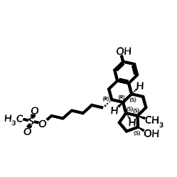 C[C@]12CC[C@@H]3c4ccc(O)cc4C[C@@H](CCCCCCOS(C)(=O)=O)[C@H]3[C@@H]1CC[C@@H]2O